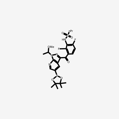 CCCS(=O)(=O)Nc1c(F)ccc(C(=O)c2nn(C(C)OC)c3ncc(B4OC(C)(C)C(C)(C)O4)cc23)c1F